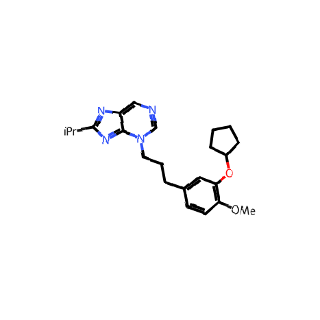 COc1ccc(CCCn2cncc3nc(C(C)C)nc2-3)cc1OC1CCCC1